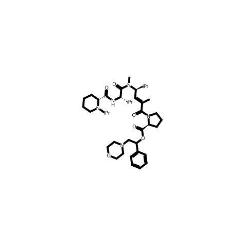 C/C(=C\[C@H](C(C)C)N(C)C(=O)[C@@H](NC(=O)[C@H]1CCCCN1C(C)C)C(C)C)C(=O)N1CCC[C@H]1C(=O)OC(CN1CCOCC1)c1ccccc1